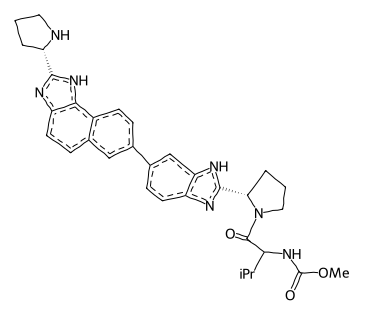 COC(=O)NC(C(=O)N1CCC[C@H]1c1nc2ccc(-c3ccc4c(ccc5nc([C@@H]6CCCN6)[nH]c54)c3)cc2[nH]1)C(C)C